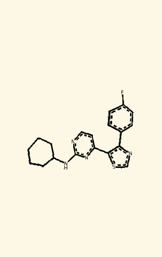 Fc1ccc(-c2ncsc2-c2ccnc(NC3CCCCC3)n2)cc1